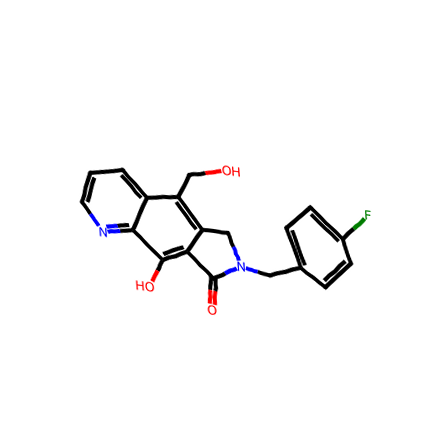 O=C1c2c(c(CO)c3cccnc3c2O)CN1Cc1ccc(F)cc1